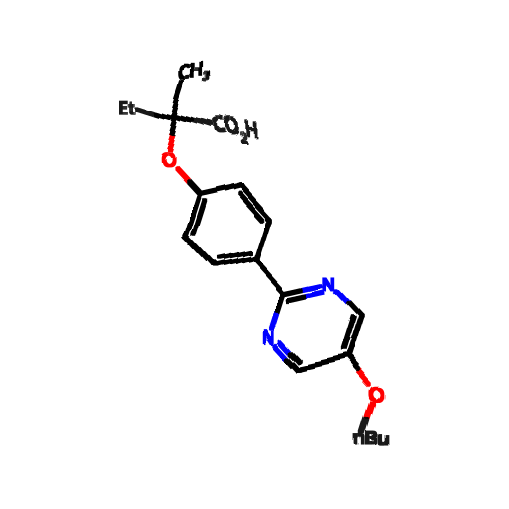 CCCCOc1cnc(-c2ccc(OC(C)(CC)C(=O)O)cc2)nc1